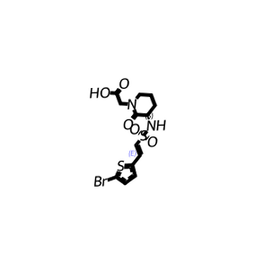 O=C(O)CN1CCC[C@H](NS(=O)(=O)/C=C/c2ccc(Br)s2)C1=O